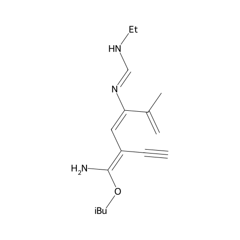 C#CC(/C=C(/N=C/NCC)C(=C)C)=C(/N)OC(C)CC